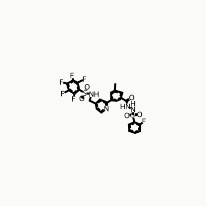 Cc1cc(C(=O)NNS(=O)(=O)c2ccccc2F)cc(-c2cc(CNS(=O)(=O)c3c(F)c(F)c(F)c(F)c3F)ccn2)c1